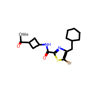 COC(=O)C1CC(NC(=O)c2nc(CC3CCCCC3)c(Br)s2)C1